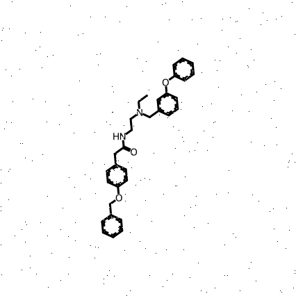 CCN(CCNC(=O)Cc1ccc(OCc2ccccc2)cc1)Cc1cccc(Oc2ccccc2)c1